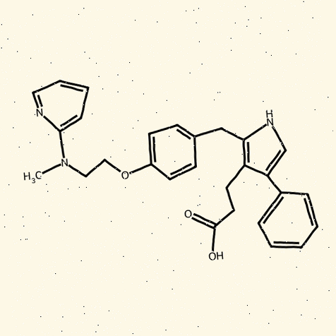 CN(CCOc1ccc(Cc2[nH]cc(-c3ccccc3)c2CCC(=O)O)cc1)c1ccccn1